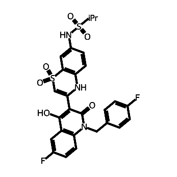 CC(C)S(=O)(=O)Nc1ccc2c(c1)S(=O)(=O)C=C(c1c(O)c3cc(F)ccc3n(Cc3ccc(F)cc3)c1=O)N2